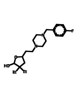 CCC1(CC)CC(CCN2CCN(Cc3ccc(F)cc3)CC2)OC1O